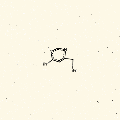 CC(C)Cc1cc(C(C)C)ncn1